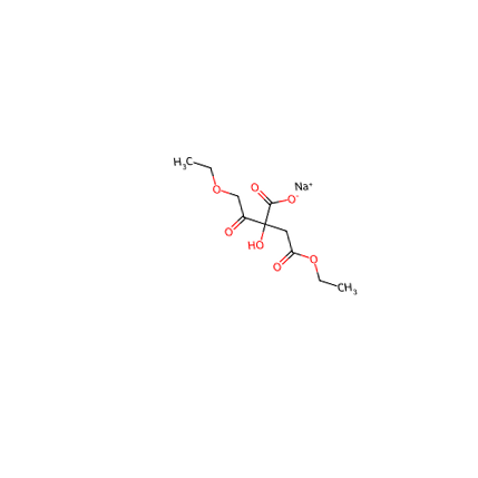 CCOCC(=O)C(O)(CC(=O)OCC)C(=O)[O-].[Na+]